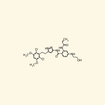 C=CC(=O)Nc1cc(NCCO)ccc1C(=O)Nc1cc(CCc2c(Cl)c(OC)cc(OC)c2Cl)[nH]n1